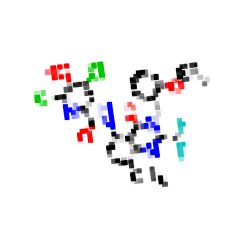 Cc1ccc(NC(=O)c2cc(Cl)c(O)c(Cl)n2)c2c(=O)n(Cc3ccccc3OC(F)(F)F)c(C(F)F)nc12